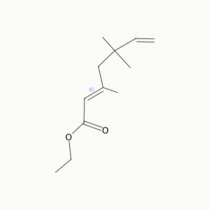 C=CC(C)(C)C/C(C)=C/C(=O)OCC